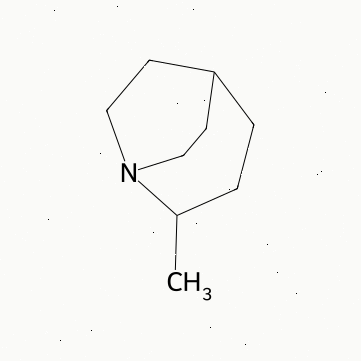 CC1CCC2CCN1CC2